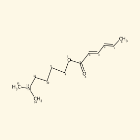 CC=CC=CC(=O)OCCCCN(C)C